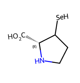 O=C(O)[C@H]1NCCC1[SeH]